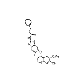 COc1cc2c(Oc3cc4sc(NC(=O)CCc5ccccc5)nc4cc3F)ccnc2cc1O